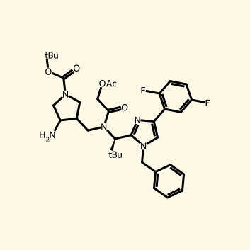 CC(=O)OCC(=O)N(CC1CN(C(=O)OC(C)(C)C)CC1N)[C@@H](c1nc(-c2cc(F)ccc2F)cn1Cc1ccccc1)C(C)(C)C